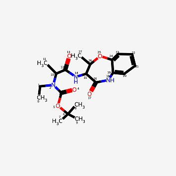 CCN(C(=O)OC(C)(C)C)C(C)C(=O)NC1C(=O)Nc2ccccc2OC1C